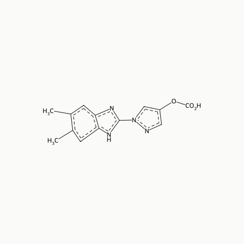 Cc1cc2nc(-n3cc(OC(=O)O)cn3)[nH]c2cc1C